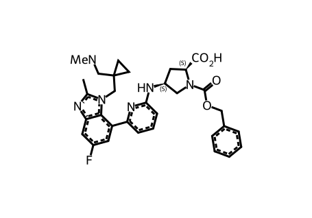 CNCC1(Cn2c(C)nc3cc(F)cc(-c4cccc(N[C@H]5C[C@@H](C(=O)O)N(C(=O)OCc6ccccc6)C5)n4)c32)CC1